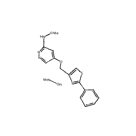 CNO.CONc1cc(OCc2csc(-c3ccccc3)n2)cnn1